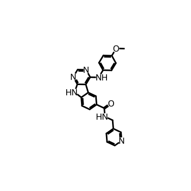 COc1ccc(Nc2ncnc3[nH]c4ccc(C(=O)NCc5cccnc5)cc4c23)cc1